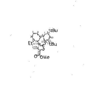 CCc1cccc(-c2cc(C(C)(C)C)cc(C(C)(C)C)c2)c1-n1c(C)c(C(=O)OC)sc1=S